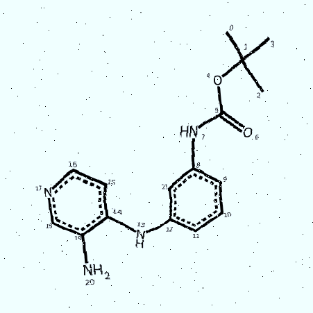 CC(C)(C)OC(=O)Nc1cccc(Nc2ccncc2N)c1